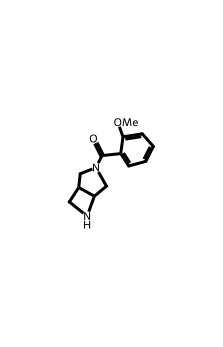 COc1ccccc1C(=O)N1CC2CNC2C1